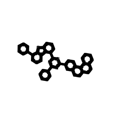 c1ccc(-c2nc(-c3ccc4c(ccc5ccc6ccccc6c54)c3)nc(-c3cccc4oc5c(-c6ccccc6)cccc5c34)n2)cc1